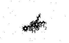 CCCCCN(CCCCC)C(=O)C(NC(=O)[C@H](Br)Cc1ccccc1)C(N)=O